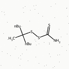 CCCCC(C)(CCCC)SSC(N)=S